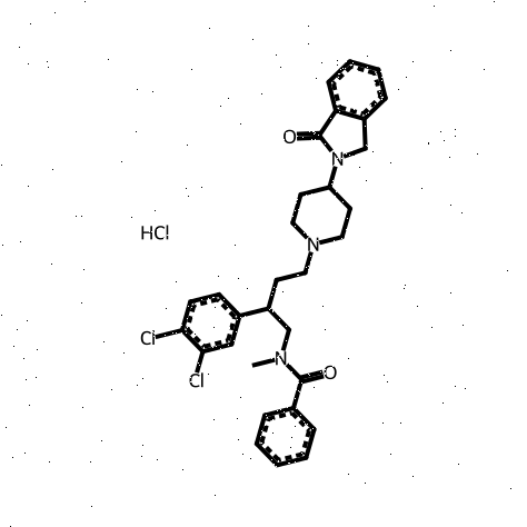 CN(CC(CCN1CCC(N2Cc3ccccc3C2=O)CC1)c1ccc(Cl)c(Cl)c1)C(=O)c1ccccc1.Cl